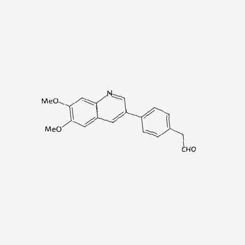 COc1cc2cc(-c3ccc(CC=O)cc3)cnc2cc1OC